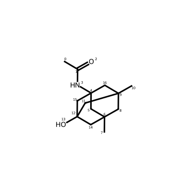 CC(=O)NC12CC3(C)CC(C)(CC(O)(C3)C1)C2